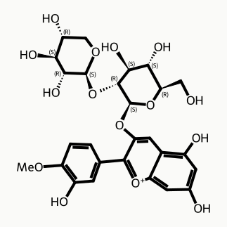 COc1ccc(-c2[o+]c3cc(O)cc(O)c3cc2O[C@@H]2O[C@H](CO)[C@@H](O)[C@H](O)[C@H]2O[C@@H]2OC[C@@H](O)[C@H](O)[C@H]2O)cc1O